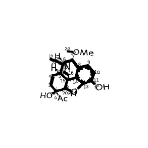 CC(=O)[C@]1(O)C=C[C@H]2[C@H]3Cc4ccc(O)c5c4[C@@]2(CCN3C)[C@H]1O5.COC